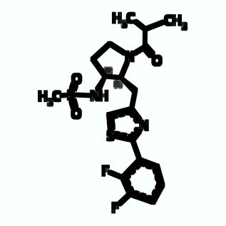 CC(C)C(=O)N1CC[C@H](NS(C)(=O)=O)[C@@H]1Cc1csc(-c2cccc(F)c2F)n1